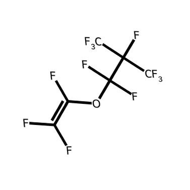 FC(F)=C(F)OC(F)(F)C(F)(C(F)(F)F)C(F)(F)F